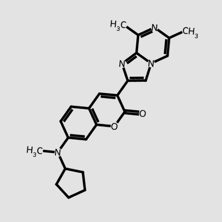 Cc1cn2cc(-c3cc4ccc(N(C)C5CCCC5)cc4oc3=O)nc2c(C)n1